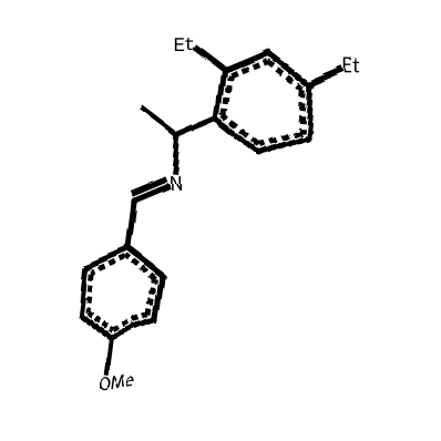 CCc1ccc(C(C)N=Cc2ccc(OC)cc2)c(CC)c1